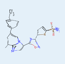 Cc1cc(-c2ccc(C(F)(F)F)cc2)cn2c(-c3nc(-c4ccc(S(N)(=O)=O)s4)no3)cnc12